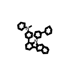 CN(c1ccccc1)c1ccc(-c2cccc3c4cc5ccccc5cc4n(-c4cccc(-c5ccccc5)c4)c23)cc1